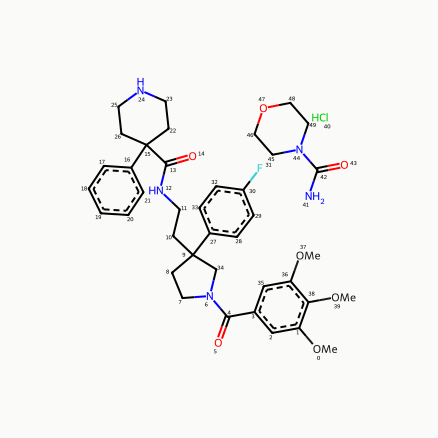 COc1cc(C(=O)N2CCC(CCNC(=O)C3(c4ccccc4)CCNCC3)(c3ccc(F)cc3)C2)cc(OC)c1OC.Cl.NC(=O)N1CCOCC1